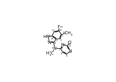 Cc1cc2c(N(C)c3ccnc(Cl)n3)n[nH]c2cc1F